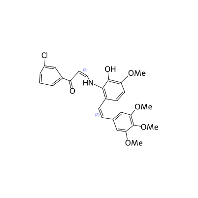 COc1ccc(/C=C\c2cc(OC)c(OC)c(OC)c2)c(N/C=C\C(=O)c2cccc(Cl)c2)c1O